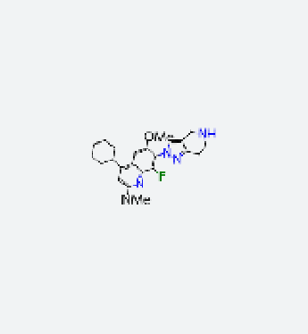 CNc1cc(C2CCCCC2)c2cc(OC)c(-n3cc4c(n3)CCNC4)c(F)c2n1